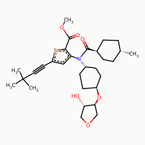 COC(=O)c1sc(C#CC(C)(C)C)cc1N(C(=O)[C@H]1CC[C@H](C)CC1)[C@H]1CC[C@H](O[C@H]2COC[C@@H]2O)CC1